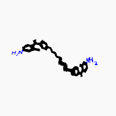 Cc1cc(N)ccc1C(C)c1ccc(CCCCCCCCc2ccc(C(C)c3ccc(N)cc3C)cc2)cc1